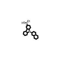 CC[SH](S)c1ccc2c(c1)c1ccccc1n2-c1ccc2ccccc2c1